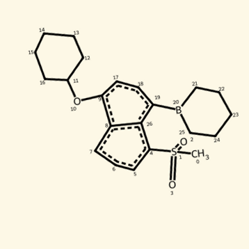 CS(=O)(=O)c1cccc2c(OC3CCCCC3)ccc(B3CCCCC3)c12